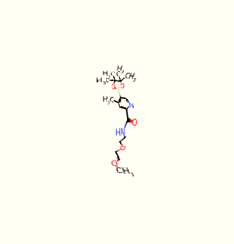 COCCOCCNC(=O)c1cc(C)c(B2OC(C)(C)C(C)(C)O2)cn1